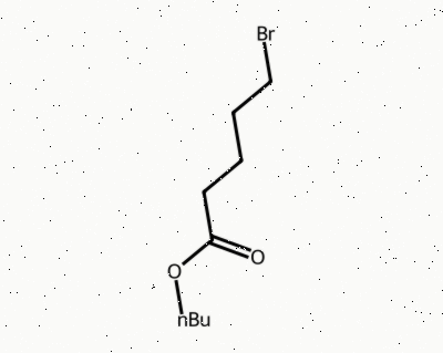 CCCCOC(=O)CCCCBr